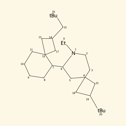 CCN1CCC2(CC1C1CCCCC13CC(CC(C)(C)C)C3)CC(C(C)(C)C)C2